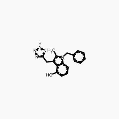 Cc1c(Cc2nn[nH]n2)c2c(O)cccc2n1Cc1ccccc1